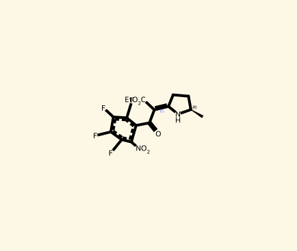 CCOC(=O)/C(C(=O)c1c(F)c(F)c(F)c(F)c1[N+](=O)[O-])=C1\CC[C@@H](C)N1